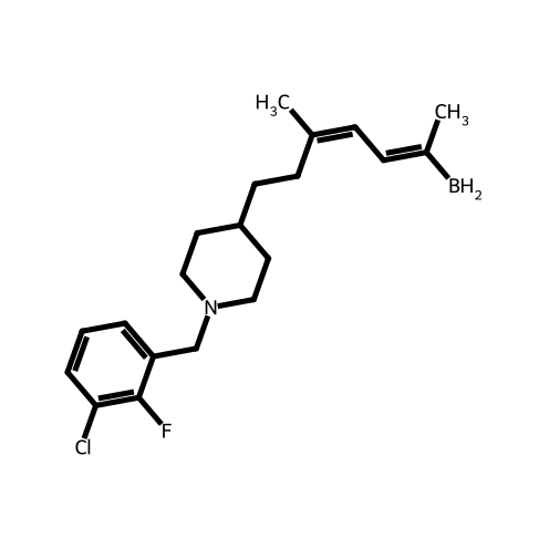 B/C(C)=C/C=C(/C)CCC1CCN(Cc2cccc(Cl)c2F)CC1